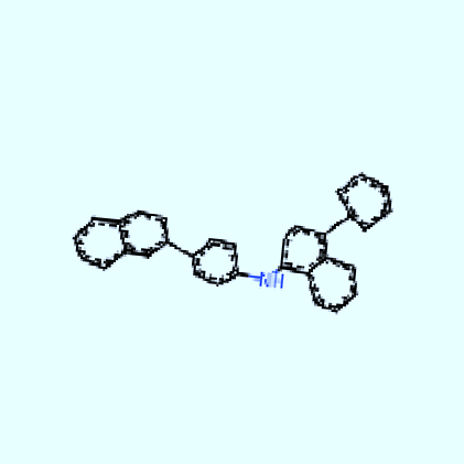 c1ccc(-c2ccc(Nc3ccc(-c4ccc5ccccc5c4)cc3)c3ccccc23)cc1